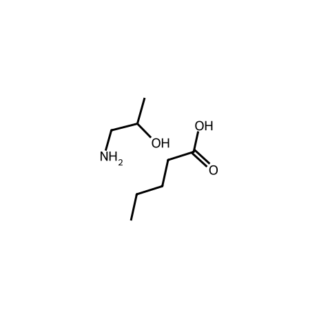 CC(O)CN.CCCCC(=O)O